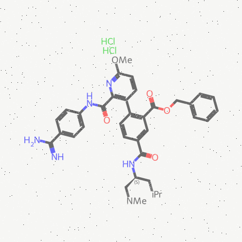 CNC[C@H](CC(C)C)NC(=O)c1ccc(-c2ccc(OC)nc2C(=O)Nc2ccc(C(=N)N)cc2)c(C(=O)OCc2ccccc2)c1.Cl.Cl